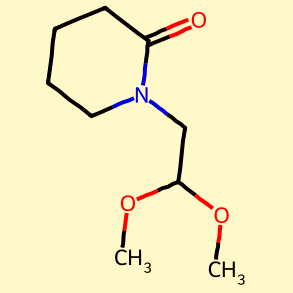 COC(CN1CCCCC1=O)OC